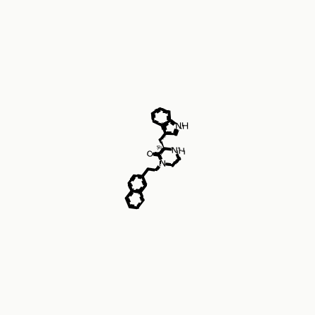 O=C1[C@@H](Cc2c[nH]c3ccccc23)NCCN1CCc1ccc2ccccc2c1